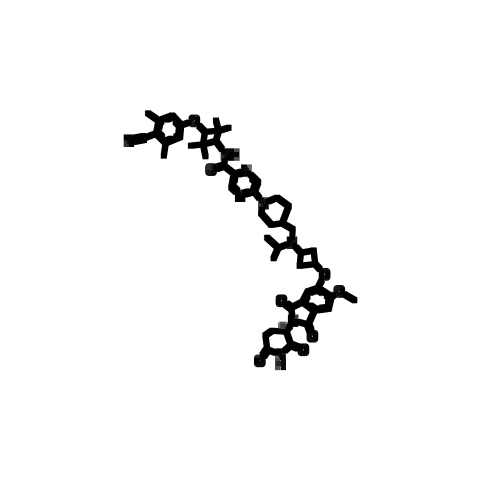 COc1cc2c(cc1OC1CC(N(CC3CCN(c4cnc(C(=O)NC5C(C)(C)C(Oc6cc(C)c(C#N)c(C)c6)C5(C)C)cn4)CC3)C(C)C)C1)C(=O)N([C@@H]1CCC(=O)NC1=O)C2=O